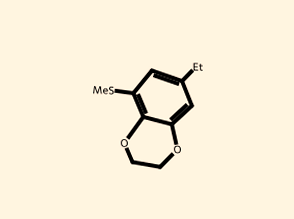 CCc1cc2c(c(SC)c1)OCCO2